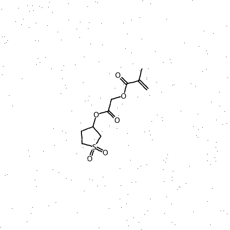 C=C(C)C(=O)OCC(=O)OC1CCS(=O)(=O)C1